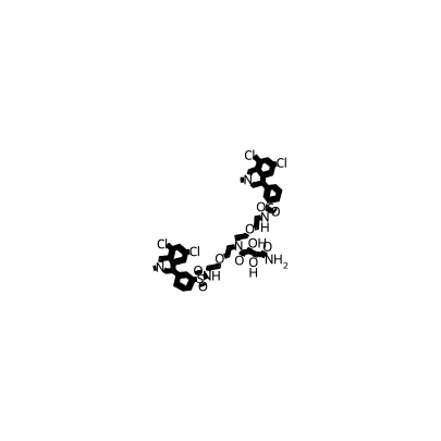 CN1Cc2c(Cl)cc(Cl)cc2C(c2cccc(S(=O)(=O)NCCOCCN(CCOCCNS(=O)(=O)c3cccc(C4CN(C)Cc5c(Cl)cc(Cl)cc54)c3)C(=O)C(O)C(O)C(N)=O)c2)C1